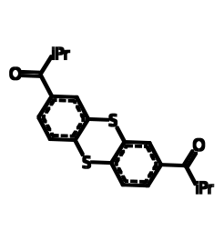 CC(C)C(=O)c1ccc2c(c1)Sc1cc(C(=O)C(C)C)ccc1S2